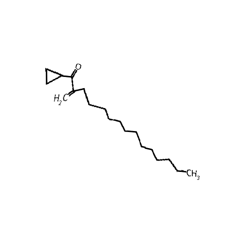 C=C(CCCCCCCCCCCCC)C(=O)C1CC1